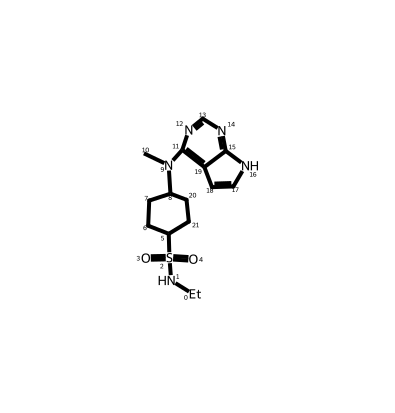 CCNS(=O)(=O)C1CCC(N(C)c2ncnc3[nH]ccc23)CC1